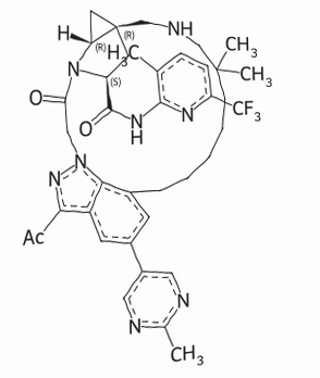 CC(=O)c1nn2c3c(cc(-c4cnc(C)nc4)cc13)CCCCCC(C)(C)CNC[C@@]13C[C@@H](C(=O)Nc4nc(C(F)(F)F)ccc4C)N(C(=O)C2)[C@@H]1C3